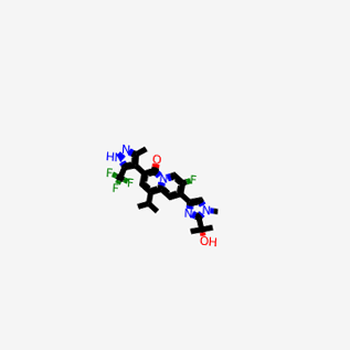 Cc1n[nH]c(C(F)(F)F)c1-c1cc(C(C)C)c2cc(-c3cn(C)c(C(C)(C)O)n3)c(F)cn2c1=O